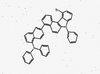 Brc1cccc2c1c1c3cccc(-c4ccc5c(N(c6ccccc6)c6ccccc6)cccc5c4)c3ccc1n2-c1ccccc1